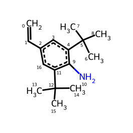 C=Cc1cc(C(C)(C)C)c(N)c(C(C)(C)C)c1